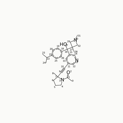 CC(=O)N1CCCC1(C)C#Cc1cncc(C(O)(c2ccc(C(C)C)cc2)C2(C)CN(C)C2)c1